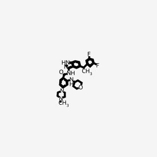 CC(c1cc(F)cc(F)c1)c1ccc2[nH]nc(NC(=O)c3ccc(N4CCN(C)CC4)cc3NC3CCOCC3)c2c1